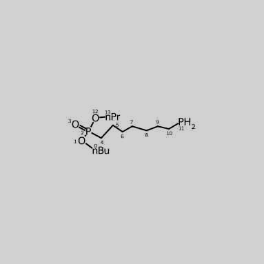 CCCCOP(=O)(CCCCCCCP)OCCC